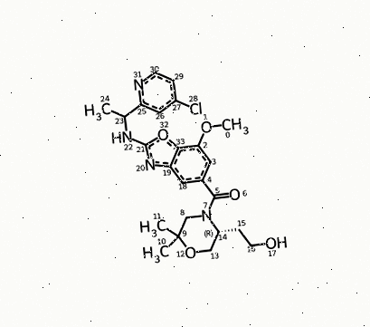 COc1cc(C(=O)N2CC(C)(C)OC[C@H]2CCO)cc2nc(NC(C)c3cc(Cl)ccn3)oc12